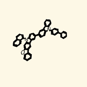 c1ccc(-c2ccc(-n3c4ccccc4c4cc(-c5ccc6c(c5)c5cc7c(cc5n6-c5cccc6ccccc56)oc5ccccc57)ccc43)cc2)cc1